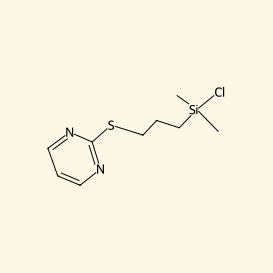 C[Si](C)(Cl)CCCSc1ncccn1